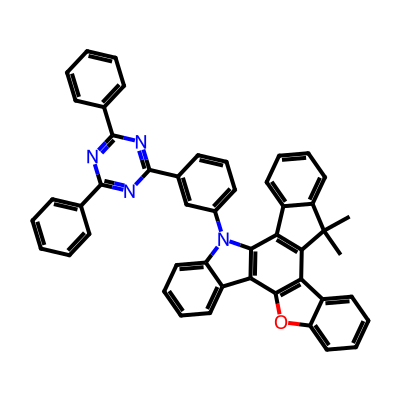 CC1(C)c2ccccc2-c2c1c1c3ccccc3oc1c1c3ccccc3n(-c3cccc(-c4nc(-c5ccccc5)nc(-c5ccccc5)n4)c3)c21